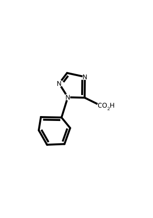 O=C(O)c1ncnn1-c1ccccc1